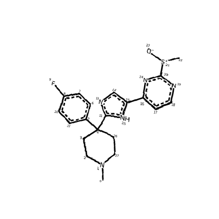 CN1CCC(c2ccc(F)cc2)(c2ncc(-c3ccnc([S+](C)[O-])n3)[nH]2)CC1